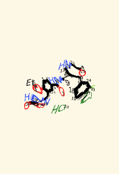 CCOc1ccc(C(=O)NC[C@@H]2CNCCO[C@H]2c2ccc(Cl)c(F)c2)cc1-c1noc(=O)[nH]1.Cl